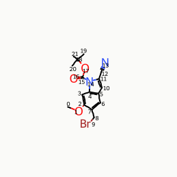 COc1cc2c(cc1CBr)cc(C#N)n2C(=O)OC(C)(C)C